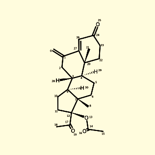 C=C1C[C@@H]2[C@H](CC[C@@]3(C)[C@H]2CC[C@@]3(OC(C)=O)C(C)=O)[C@@]2(C)CCC(=O)C=C12